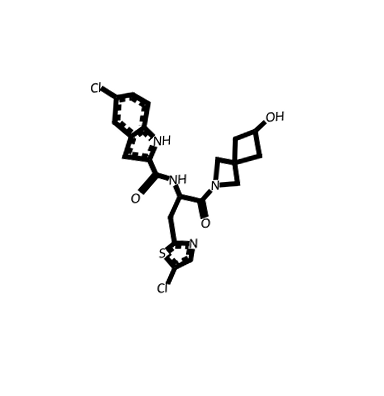 O=C(NC(Cc1ncc(Cl)s1)C(=O)N1CC2(CC(O)C2)C1)c1cc2cc(Cl)ccc2[nH]1